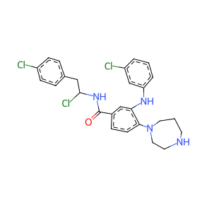 O=C(NC(Cl)Cc1ccc(Cl)cc1)c1ccc(N2CCCNCC2)c(Nc2cccc(Cl)c2)c1